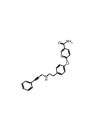 NC(=O)c1ccc(Oc2ccc(CCNCC#Cc3ccccc3)cc2)nc1